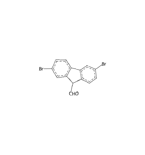 O=CC1c2ccc(Br)cc2-c2ccc(Br)cc21